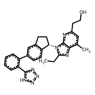 CCc1nc2c(C)cc(CCO)nc2n1[C@H]1CCc2cc(-c3ccccc3-c3nnn[nH]3)ccc21